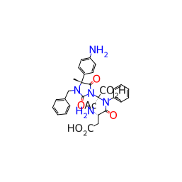 CC(=O)[C@@](C(=O)O)(N1C(=O)N(Cc2ccccc2)[C@](C)(c2ccc(N)cc2)C1=O)N(C(=O)[C@@H](N)CC(=O)O)c1ccccc1